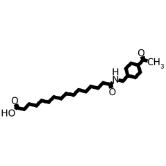 CC(=O)C1CCC(CNC(=O)CCCCCCCCCCCCCCC(=O)O)CC1